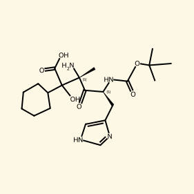 CC(C)(C)OC(=O)N[C@@H](Cc1c[nH]cn1)C(=O)[C@@](C)(N)C(O)(C(=O)O)C1CCCCC1